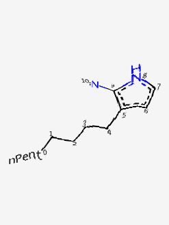 CCCCCCCCCc1cc[nH]c1[N]